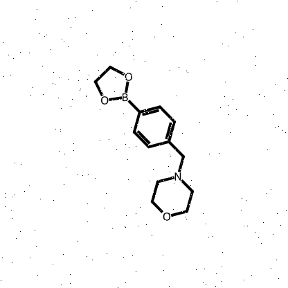 c1cc(B2OCCO2)ccc1CN1CCOCC1